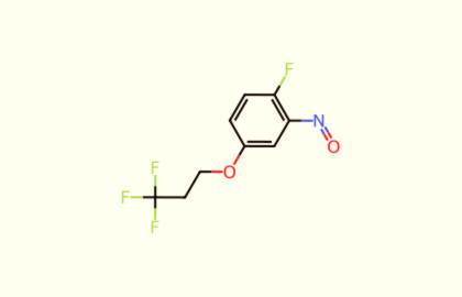 O=Nc1cc(OCCC(F)(F)F)ccc1F